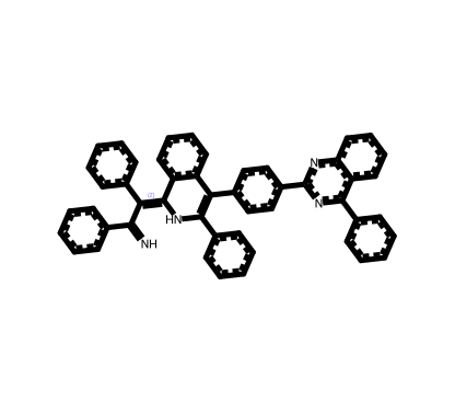 N=C(/C(=C1\NC(c2ccccc2)=C(c2ccc(-c3nc(-c4ccccc4)c4ccccc4n3)cc2)c2ccccc21)c1ccccc1)c1ccccc1